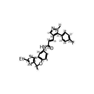 CCc1nc(C(C)Oc2ccc(NC(=O)C=Cc3cnn(C)c3-c3ccc(F)cc3)cc2)cs1